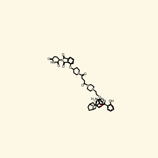 Nc1nnc(-c2ccccc2O)cc1N1CC2CCC(C1)N2c1cccc(OCCN2CCN(C(=O)CCC(=O)N3CCC(Oc4cccc5c4C(=O)N(C4CCC(=O)NC4=O)C5=O)CC3)CC2)c1